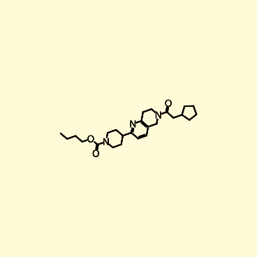 CCCCOC(=O)N1CCC(c2ccc3c(n2)CCN(C(=O)CC2CCCC2)C3)CC1